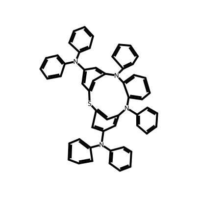 c1ccc(N(c2ccccc2)c2cc3cc(c2)n(-c2ccccc2)c2ccccc2n(-c2ccccc2)c2cc(N(c4ccccc4)c4ccccc4)cc(c2)s3)cc1